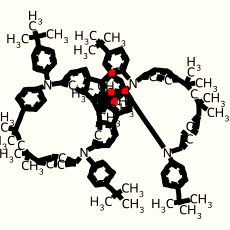 CC(C)(C)c1ccc(N2c3ccc(cc3)C(C)(C)CC(C)(C)c3ccc(cc3)N(c3ccc(C(C)(C)C)cc3)c3ccc4c(c3)C3(C(C)(C)C)c5cc(ccc5-4)N(c4ccc(C(C)(C)C)cc4)c4ccc(cc4)C(C)(C)CC(C)(C)c4ccc(cc4)N(c4ccc(C(C)(C)C)cc4)c4ccc5c(c4)C3(C(C)(C)C)c3cc2ccc3-5)cc1